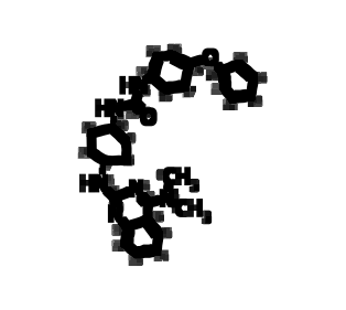 CN(C)c1nc(N[C@H]2CC[C@@H](NC(=O)Nc3ccc(Oc4ccccc4)cc3)CC2)nc2ccccc12